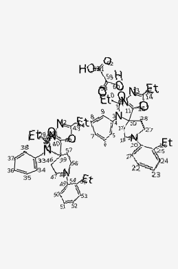 CCC(=O)N(c1ccccc1)C1(c2nnc(CC)o2)CCN(c2ccccc2CC)CC1.CCC(=O)N(c1ccccc1)C1(c2nnc(CC)o2)CCN(c2ccccc2CC)CC1.O=C(O)C(=O)O